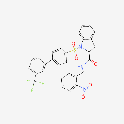 O=C(NCc1ccccc1[N+](=O)[O-])[C@@H]1Cc2ccccc2N1S(=O)(=O)c1ccc(-c2cccc(C(F)(F)F)c2)cc1